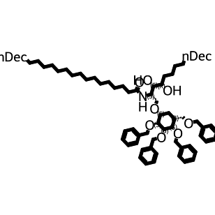 CCCCCCCCCCCCCCCCCCCCCCCCCC(=O)N[C@@H](CO[C@H]1C[C@H](COCc2ccccc2)[C@H](OCc2ccccc2)[C@H](OCc2ccccc2)[C@H]1OCc1ccccc1)[C@H](O)[C@H](O)CCCCCCCCCCCCCC